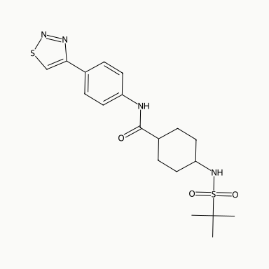 CC(C)(C)S(=O)(=O)NC1CCC(C(=O)Nc2ccc(-c3csnn3)cc2)CC1